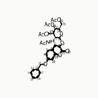 CC(=O)N[C@H]1C(Oc2cc3ccc(OCc4ccccc4)cc3oc2=O)O[C@H](COC(C)=O)[C@H](OC(C)=O)[C@@H]1OC(C)=O